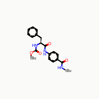 CC(C)(C)NC(=O)c1ccc(NC(=O)[C@H](Cc2ccccc2)NC(=O)OC(C)(C)C)cc1